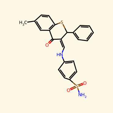 Cc1ccc2c(c1)C(=O)C(=CNc1ccc(S(N)(=O)=O)cc1)C(c1ccccc1)S2